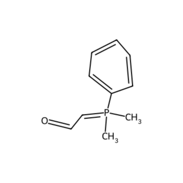 CP(C)(=CC=O)c1ccccc1